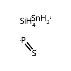 [P]=S.[SiH4].[SnH2]